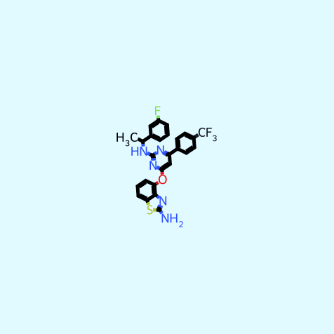 CC(Nc1nc(Oc2cccc3sc(N)nc23)cc(-c2ccc(C(F)(F)F)cc2)n1)c1cccc(F)c1